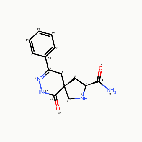 NC(=O)[C@@H]1C[C@]2(CN1)CC(c1ccccc1)=NNC2=O